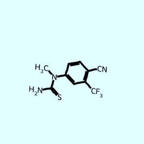 CN(C(N)=S)c1ccc(C#N)c(C(F)(F)F)c1